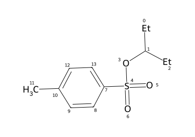 CCC(CC)OS(=O)(=O)c1ccc(C)cc1